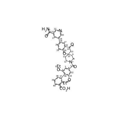 CCOc1cc(C(=O)N2CCC3(CC2)CC(=O)c2cc(-c4cncc(C(N)=O)c4)ccc2O3)cc(OCC)c1-c1cccc(C(=O)O)c1